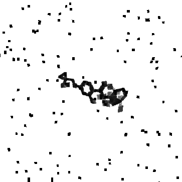 N#CN1[C@H]2CC[C@@H]1[C@H](NC(=O)c1ccc(OCC3(C#N)CC3)cc1Cl)C2